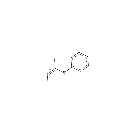 C/C=C(/C)Sc1ccccc1